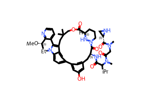 CCn1c(-c2cccnc2[C@H](C)OC)c2c3cc(ccc31)-c1cc(O)cc(c1)C[C@H](NC(=O)C(C(C)C)N(C)C(=O)CN(C)C(=O)[C@@H]1CN1)C(=O)N1CCC[C@H](N1)C(=O)OCC(C)(C)C2